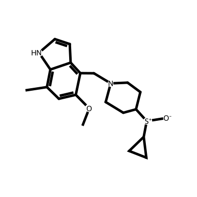 COc1cc(C)c2[nH]ccc2c1CN1CCC([S+]([O-])C2CC2)CC1